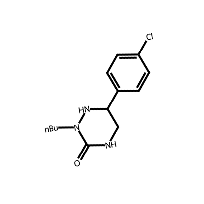 CCCCN1NC(c2ccc(Cl)cc2)CNC1=O